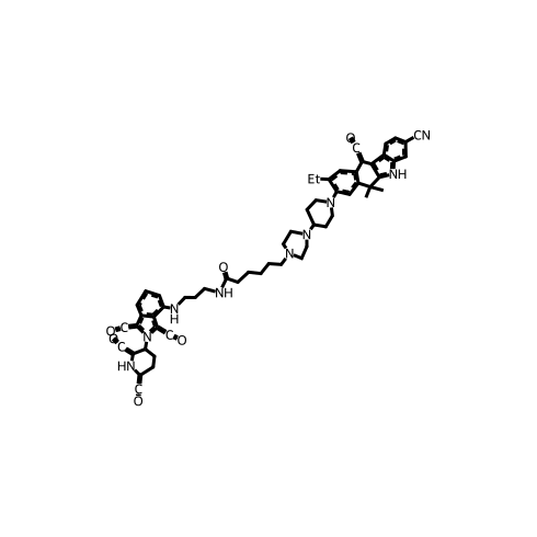 CCc1cc2c(cc1N1CCC(N3CCN(CCCCCC(=O)NCCCNc4cccc5c(=C=O)n(C6CCC(=C=O)NC6=C=O)c(=C=O)c45)CC3)CC1)C(C)(C)c1[nH]c3cc(C#N)ccc3c1C2=C=O